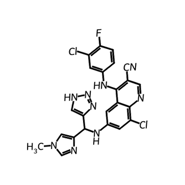 Cn1cnc(C(Nc2cc(Cl)c3ncc(C#N)c(Nc4ccc(F)c(Cl)c4)c3c2)c2c[nH]nn2)c1